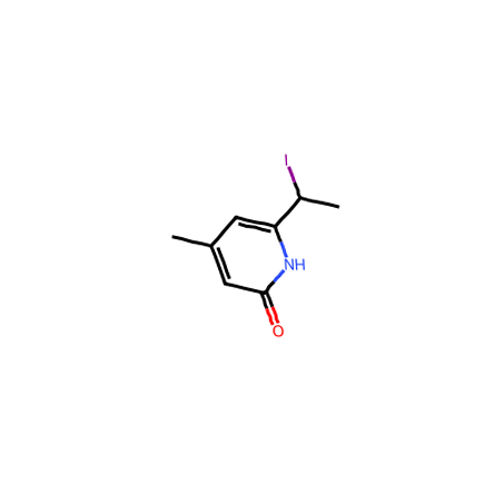 Cc1cc(C(C)I)[nH]c(=O)c1